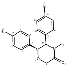 CN1C(=O)CO[C@@H](c2ccc(Br)cc2)[C@H]1c1ccc(Br)cc1